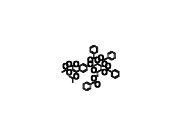 CC(=O)Oc1c(OC(C)C)c2ccc(O[C@@H]3O[C@H](COC(=O)c4ccccc4)[C@H](OC(=O)c4ccccc4)[C@H](OC(=O)c4ccccc4)[C@H]3OC(=O)c3ccccc3)cc2oc1=O